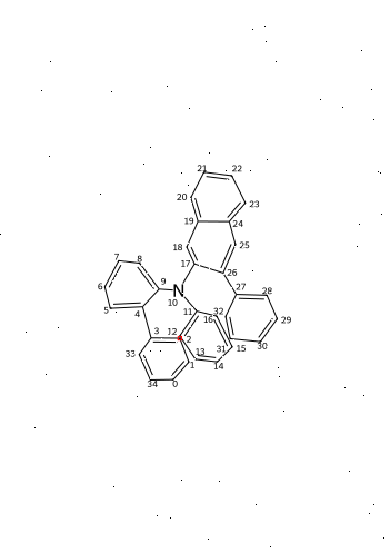 c1ccc(-c2ccccc2N(c2ccccc2)c2cc3ccccc3cc2-c2ccccc2)cc1